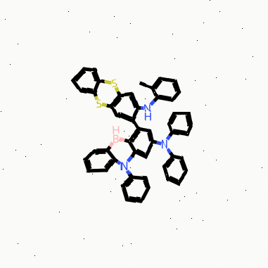 Cc1ccccc1Nc1cc2c(cc1-c1cc(N(c3ccccc3)c3ccccc3)cc3c1Bc1ccccc1N3c1ccccc1)Sc1ccccc1S2